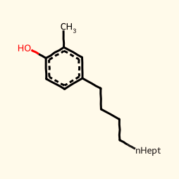 CCCCCCCCCCCc1ccc(O)c(C)c1